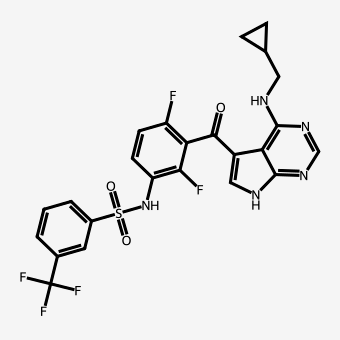 O=C(c1c(F)ccc(NS(=O)(=O)c2cccc(C(F)(F)F)c2)c1F)c1c[nH]c2ncnc(NCC3CC3)c12